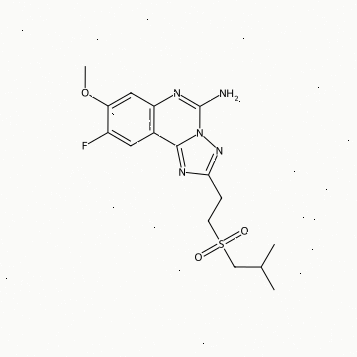 COc1cc2nc(N)n3nc(CCS(=O)(=O)CC(C)C)nc3c2cc1F